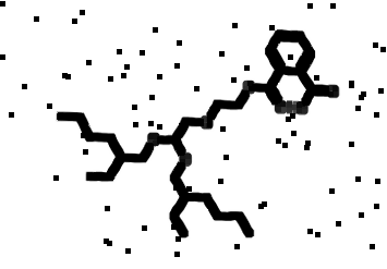 CCCCC(CC)COC(COCCOC(=O)c1ccccc1C(=O)O)OCC(CC)CCCC